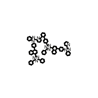 c1ccc(-c2nc(-c3ccc(-c4ccccc4-c4cccc(-c5nc6ccccc6n5-c5ccc(-c6ccc(-c7nc(-c8ccccc8)nc(-c8ccccc8)n7)c7ccccc67)cc5)n4)cc3)nc(-c3ccc(-c4ccc(-n5c(-c6ccccn6)nc6ccccc65)cc4)c4ccccc34)n2)cc1